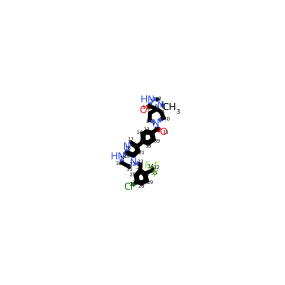 CN1CNC(=O)C12CCN(C(=O)c1ccc(-c3cnc4c(c3)N(Cc3cc(Cl)ccc3C(F)(F)F)CCN4)cc1)CC2